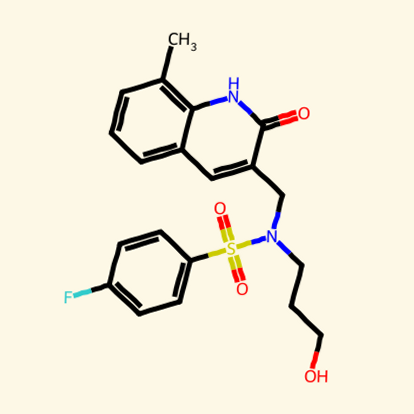 Cc1cccc2cc(CN(CCCO)S(=O)(=O)c3ccc(F)cc3)c(=O)[nH]c12